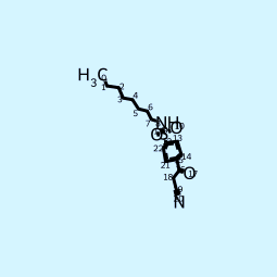 CCCCCCCCNS(=O)(=O)c1ccc(C(=O)CC#N)cc1